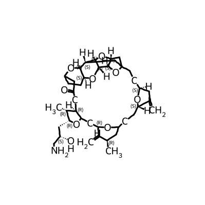 C=C1C[C@@H]2CCC34C[C@H]5[C@H]6OC(CC[C@@H]6O[C@H]6[C@@H](O3)[C@@H](C4)O[C@@H]56)CC(=O)C[C@H]3C(C[C@H]4OC(CC[C@@H]1O2)C[C@@H](C)C4=C)O[C@H](C[C@H](O)CN)[C@@H]3C